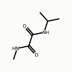 CNC(=O)C(=O)NC(C)C